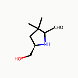 CC1(C)C[C@H](CO)NC1C=O